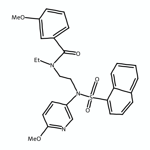 CCN(CCN(c1ccc(OC)nc1)S(=O)(=O)c1cccc2ccccc12)C(=O)c1cccc(OC)c1